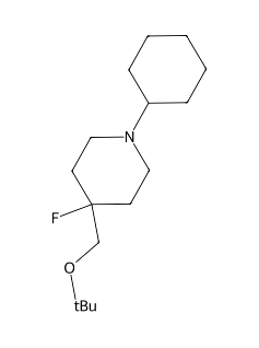 CC(C)(C)OCC1(F)CCN(C2CCCCC2)CC1